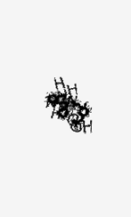 Cc1ccc(CC(=O)O)cc1CCN[C@H](c1ccccc1)[C@H]1CNc2cccnc2N1